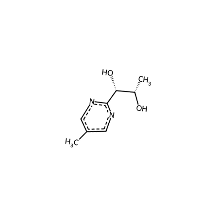 Cc1cnc([C@H](O)[C@H](C)O)nc1